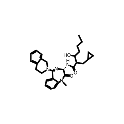 CCCCC(O)C(CC1CC1)C(=O)N[C@H]1N=C(N2CCc3ccccc3C2)c2ccccc2N(C)C1=O